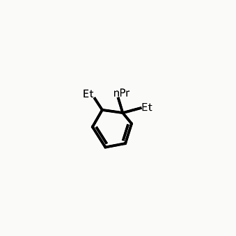 CCCC1(CC)C=CC=CC1CC